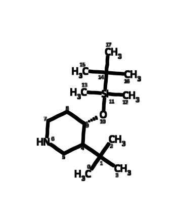 CC(C)(C)C1CNCC[C@@H]1O[Si](C)(C)C(C)(C)C